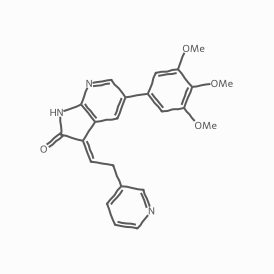 COc1cc(-c2cnc3c(c2)/C(=C\Cc2cccnc2)C(=O)N3)cc(OC)c1OC